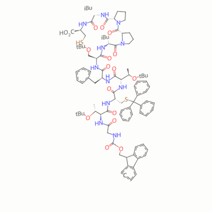 CC[C@H](C)[C@H](NC(=O)[C@@H]1CCCN1C(=O)[C@@H]1CCCN1C(=O)[C@@H](NC(=O)[C@H](COC(C)(C)C)NC(=O)[C@H](Cc1ccccc1)NC(=O)[C@@H](NC(=O)[C@H](CSC(c1ccccc1)(c1ccccc1)c1ccccc1)NC(=O)[C@@H](NC(=O)CNC(=O)OCC1c2ccccc2-c2ccccc21)[C@@H](C)OC(C)(C)C)[C@@H](C)OC(C)(C)C)[C@@H](C)CC)C(=O)N[C@@H](CS)C(=O)O